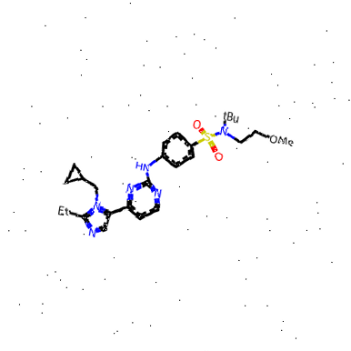 CCc1ncc(-c2ccnc(Nc3ccc(S(=O)(=O)N(CCOC)C(C)(C)C)cc3)n2)n1CC1CC1